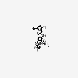 N#Cc1ccc(Cl)c(CC(=O)Nc2ccc(-n3cc(C(F)(F)F)cn3)c(S(N)(=O)=O)c2)c1